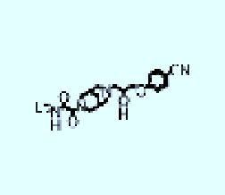 CCNC(=O)C(=O)N1CC2CC(CN(C[C@H](O)COc3ccc(C#N)cc3)C2)C1